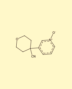 N#CC1(c2ccc[n+]([O-])c2)CCOCC1